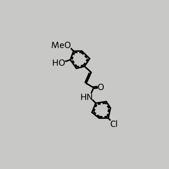 COc1ccc(/C=C/C(=O)Nc2ccc(Cl)cc2)cc1O